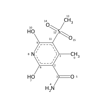 Cc1c(C(N)=O)c(O)nc(O)c1S(C)(=O)=O